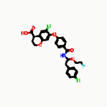 O=C(NC(Cc1ccc(Cl)cc1)OCCF)c1ccc(Oc2cc3c(cc2Cl)C(C(=O)O)CCO3)cc1